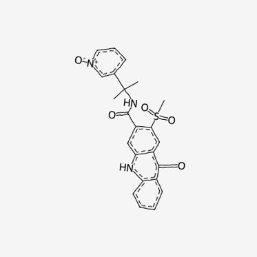 CC(C)(NC(=O)c1cc2[nH]c3ccccc3c(=O)c2cc1S(C)(=O)=O)c1ccc[n+]([O-])c1